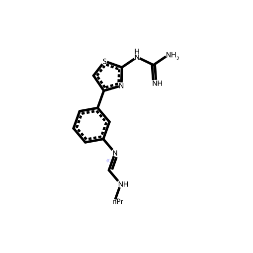 CCCN/C=N/c1cccc(-c2csc(NC(=N)N)n2)c1